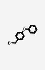 BrCc1ccc(Oc2ccccc2)cc1